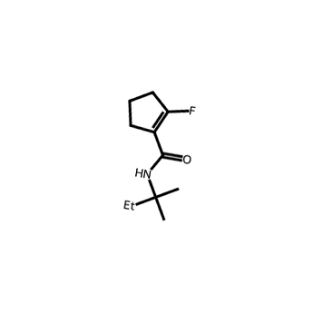 CCC(C)(C)NC(=O)C1=C(F)CCC1